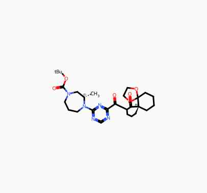 C[C@H]1CN(C(=O)OC(C)(C)C)CCCN1c1ncnc(C(=O)C2CCC[C@@]3(CCCCC34OCCO4)C2=O)n1